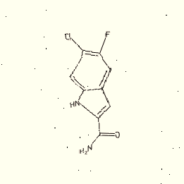 NC(=O)c1cc2cc(F)c(Cl)cc2[nH]1